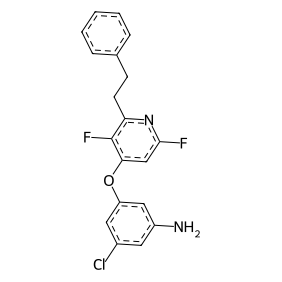 Nc1cc(Cl)cc(Oc2cc(F)nc(CCc3ccccc3)c2F)c1